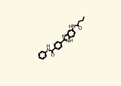 CCCC(=O)Nc1ccc2[nH]c(-c3ccc(C(=O)Nc4ccccc4)cc3)nc2c1